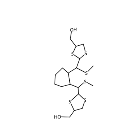 CSC(C1SCC(CO)S1)C1CCCCC1C(SC)C1SCC(CO)S1